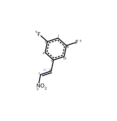 O=[N+]([O-])/C=C/c1cc(F)cc(F)c1